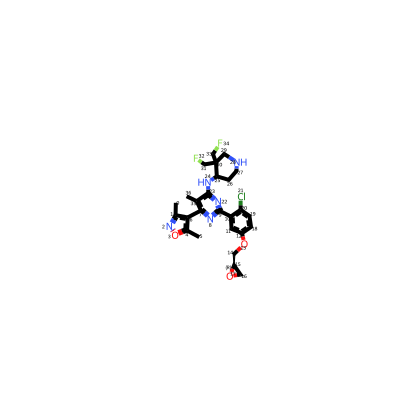 Cc1noc(C)c1-c1nc(-c2cc(OC[C@H]3CO3)ccc2Cl)nc(NC2CCNCC2(CF)CF)c1C